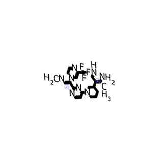 C=N/C=C(/c1nccc(N2CCCC(/C(C=N)=C(\C)N)C2)n1)N1C=C(C(F)(F)F)N=CC1